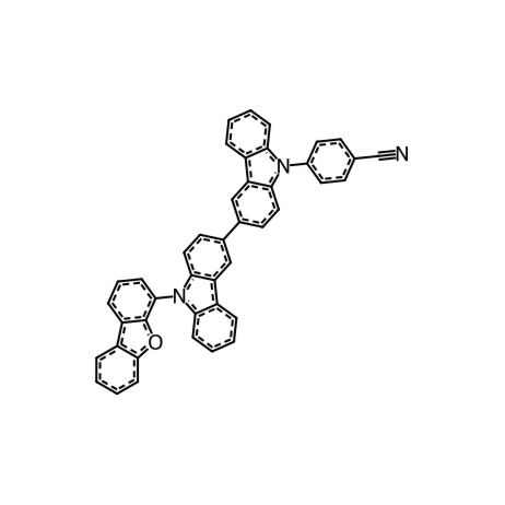 N#Cc1ccc(-n2c3ccccc3c3cc(-c4ccc5c(c4)c4ccccc4n5-c4cccc5c4oc4ccccc45)ccc32)cc1